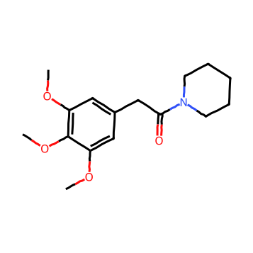 COc1cc(CC(=O)N2CCCCC2)cc(OC)c1OC